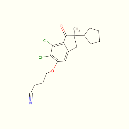 CC1(C2CCCC2)Cc2cc(OCCCC#N)c(Cl)c(Cl)c2C1=O